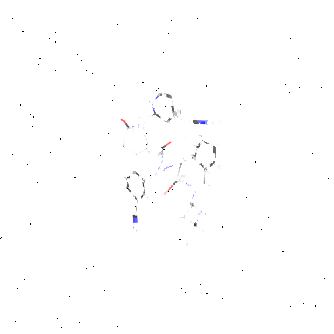 N#Cc1cccc(N(C(=O)[C@@H]2CCC(=O)N2c2cc(C#N)ccn2)[C@H](C(=O)NC2CC(F)(F)N2)c2ccccc2Cl)c1